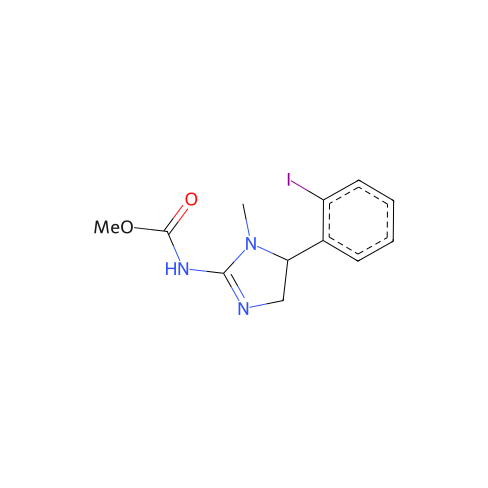 COC(=O)NC1=NCC(c2ccccc2I)N1C